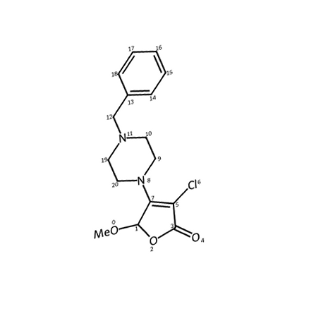 COC1OC(=O)C(Cl)=C1N1CCN(Cc2ccccc2)CC1